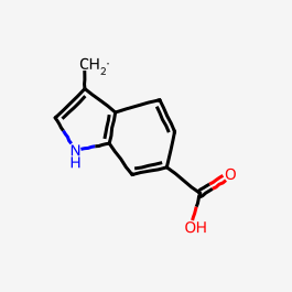 [CH2]c1c[nH]c2cc(C(=O)O)ccc12